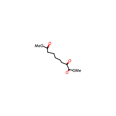 COC(=O)CCCCCC(=O)C(=O)OC